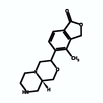 Cc1c(C2CN3CCNC[C@@H]3CO2)ccc2c1COC2=O